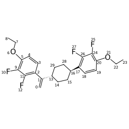 C=C(c1ccc(OCC)c(F)c1F)[C@H]1CC[C@H](c2ccc(OCC)c(F)c2F)CC1